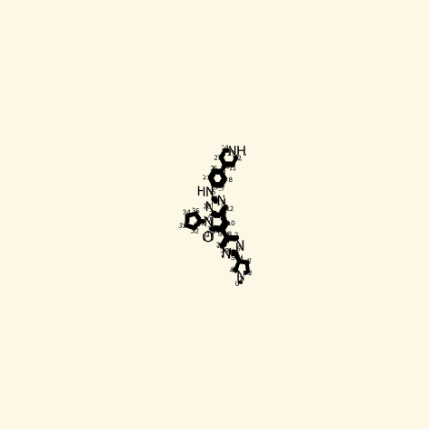 CN1CCC(c2ncc(-c3cc4cnc(Nc5ccc(C6=CCNCC6)cc5)nc4n(C4CCCC4)c3=O)cn2)C1